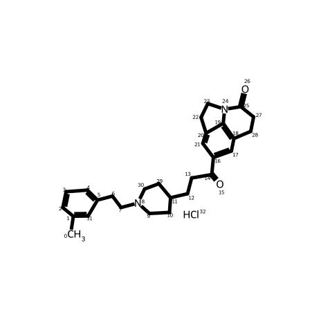 Cc1cccc(CCN2CCC(CCC(=O)c3cc4c5c(c3)CCN5C(=O)CC4)CC2)c1.Cl